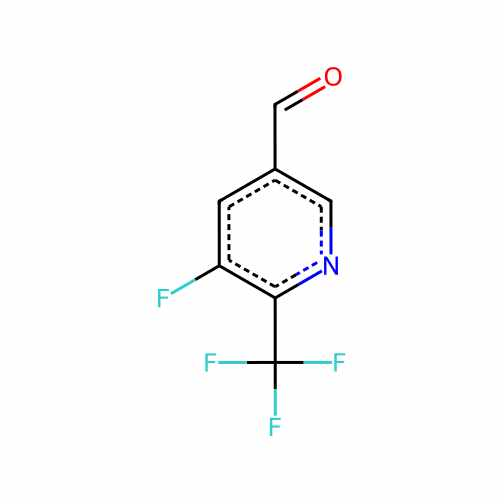 O=Cc1cnc(C(F)(F)F)c(F)c1